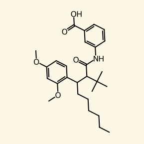 CCCCCCC(c1ccc(OC)cc1OC)C(C(=O)Nc1cccc(C(=O)O)c1)C(C)(C)C